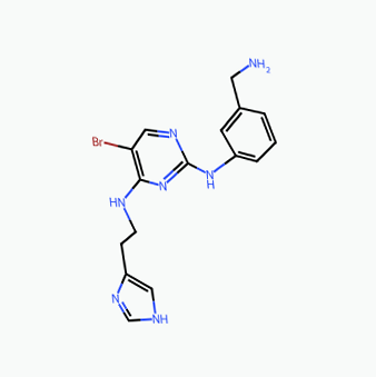 NCc1cccc(Nc2ncc(Br)c(NCCc3c[nH]cn3)n2)c1